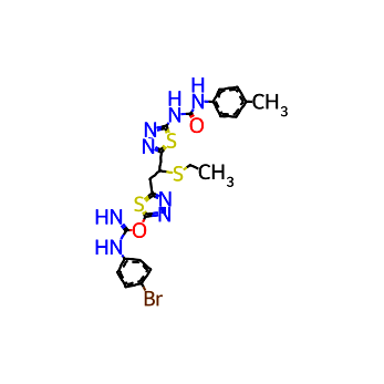 CCSC(Cc1nnc(OC(=N)Nc2ccc(Br)cc2)s1)c1nnc(NC(=O)Nc2ccc(C)cc2)s1